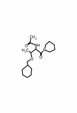 CC(=O)NC(C(=O)N1CCCCC1)C(C)OCC1CCCCC1